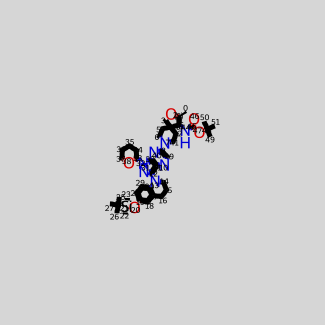 C[C@@H]1OCC2(CCN(c3cnc4c(N5CCCc6cc(O[Si](C)(C)C(C)(C)C)ccc65)nn(C5CCCCO5)c4n3)CC2)[C@@H]1NC(=O)OC(C)(C)C